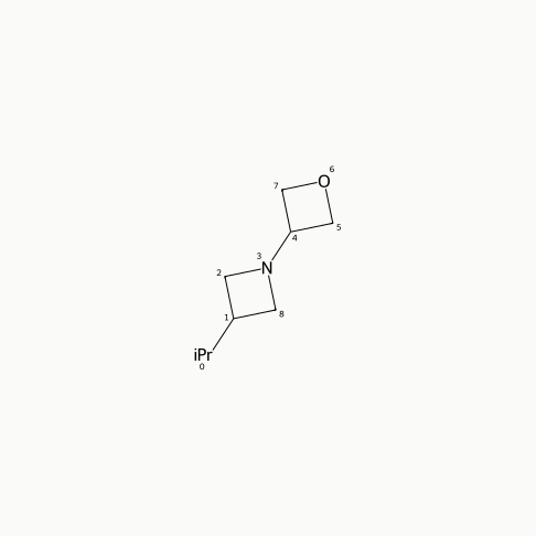 CC(C)C1CN(C2COC2)C1